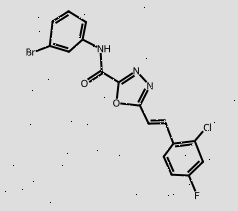 O=C(Nc1cccc(Br)c1)c1nnc(/C=C/c2ccc(F)cc2Cl)o1